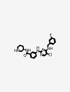 O=C(N[C@@H]1CCCNC1)c1cccc(Nc2ncc(Cl)c(NCc3cccc(F)c3)n2)c1